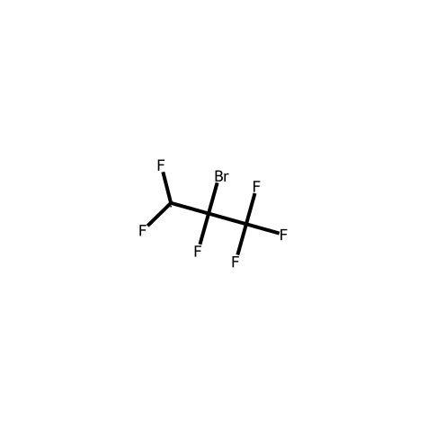 F[C](F)C(F)(Br)C(F)(F)F